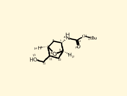 CC(C)(C)OC(=O)N[C@H]1C[C@H]2O[C@@H]1CC2CO